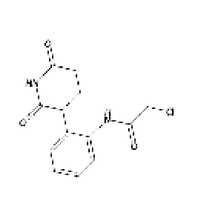 O=C1CCC(c2ccccc2NC(=O)CCl)C(=O)N1